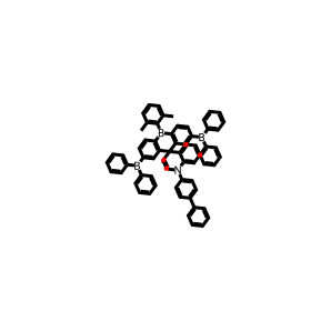 Cc1cccc(C)c1B1c2ccc(B(c3ccccc3)c3ccccc3)cc2C2(c3cc(B(c4ccccc4)c4ccccc4)ccc31)c1ccccc1N(c1ccc(-c3ccccc3)cc1)c1ccccc12